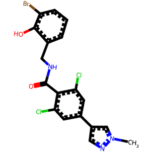 Cn1cc(-c2cc(Cl)c(C(=O)NCc3cccc(Br)c3O)c(Cl)c2)cn1